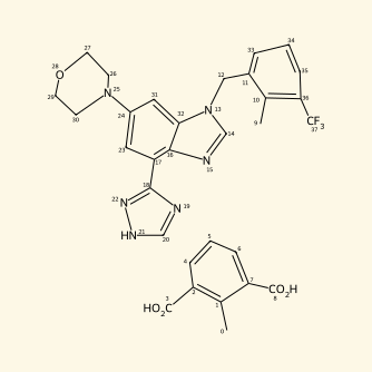 Cc1c(C(=O)O)cccc1C(=O)O.Cc1c(Cn2cnc3c(-c4nc[nH]n4)cc(N4CCOCC4)cc32)cccc1C(F)(F)F